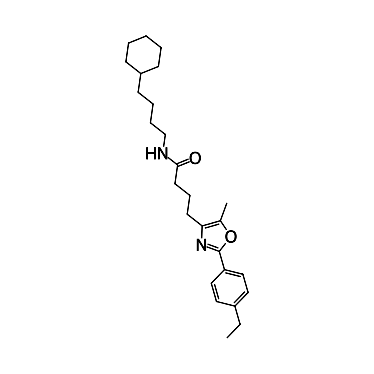 CCc1ccc(-c2nc(CCCC(=O)NCCCCC3CCCCC3)c(C)o2)cc1